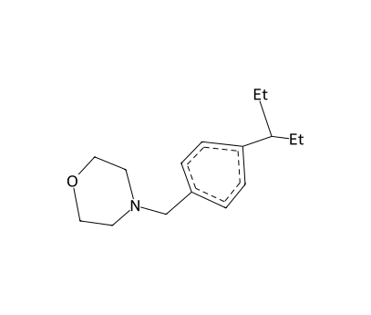 CCC(CC)c1ccc(CN2CCOCC2)cc1